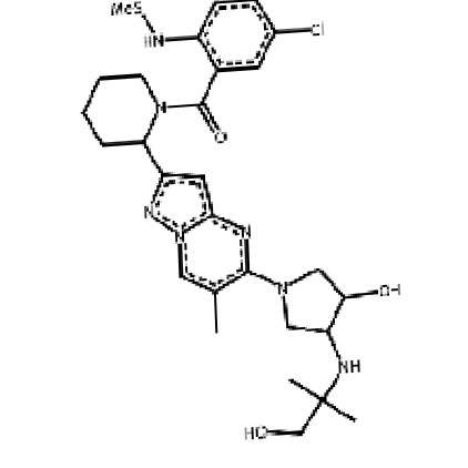 CSNc1ccc(Cl)cc1C(=O)N1CCCCC1c1cc2nc(N3CC(O)C(NC(C)(C)CO)C3)c(C)cn2n1